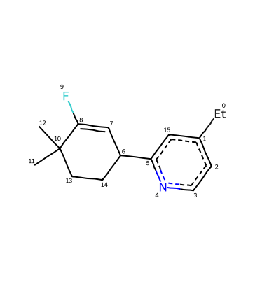 CCc1ccnc(C2C=C(F)C(C)(C)CC2)c1